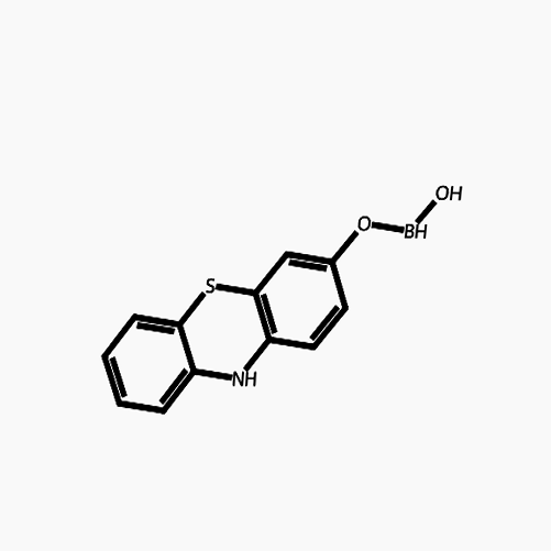 OBOc1ccc2c(c1)Sc1ccccc1N2